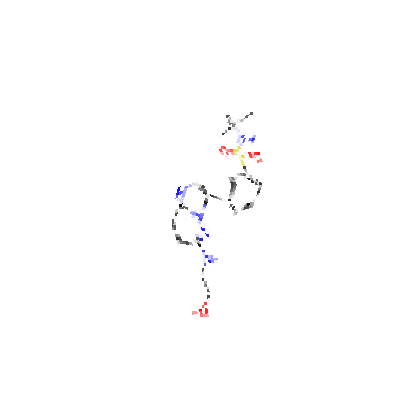 CC(C)(C)NS(=O)(=O)c1cccc(-c2cnc3ccc(NCCO)nn23)c1